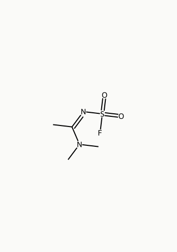 CC(=NS(=O)(=O)F)N(C)C